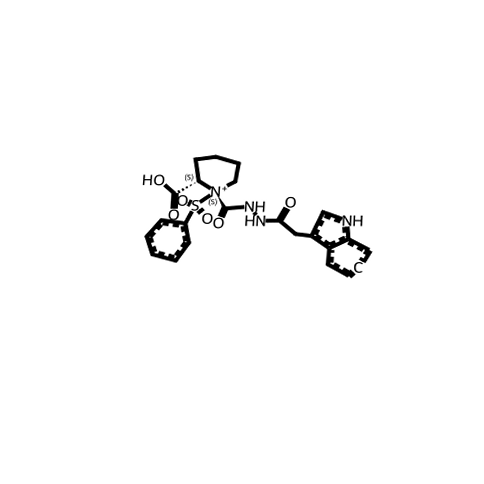 O=C(Cc1c[nH]c2ccccc12)NNC(=O)[N@+]1(S(=O)(=O)c2ccccc2)CCCC[C@H]1C(=O)O